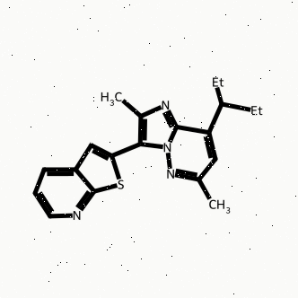 CCC(CC)c1cc(C)nn2c(-c3cc4cccnc4s3)c(C)nc12